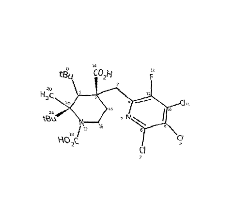 CC(C)(C)C1[C@@](Cc2nc(Cl)c(Cl)c(Cl)c2F)(C(=O)O)CCN(C(=O)O)[C@@]1(C)C(C)(C)C